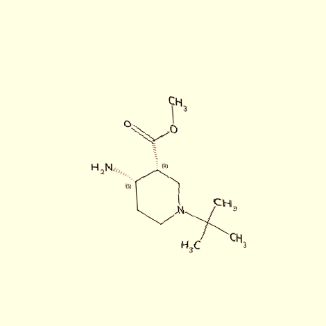 COC(=O)[C@@H]1CN(C(C)(C)C)CC[C@@H]1N